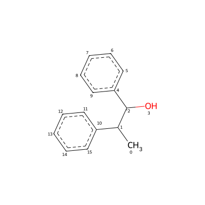 CC([C](O)c1ccccc1)c1ccccc1